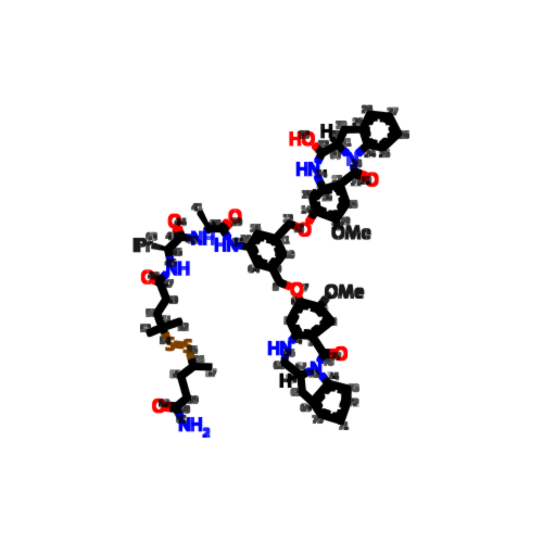 COc1cc2c(cc1OCc1cc(COc3cc4c(cc3OC)C(=O)N3c5ccccc5C[C@H]3C(O)N4)cc(NC(=O)[C@H](C)NC(=O)[C@@H](NC(=O)CCC(C)(C)SSC(C)CCC(N)=O)C(C)C)c1)NC[C@@H]1Cc3ccccc3N1C2=O